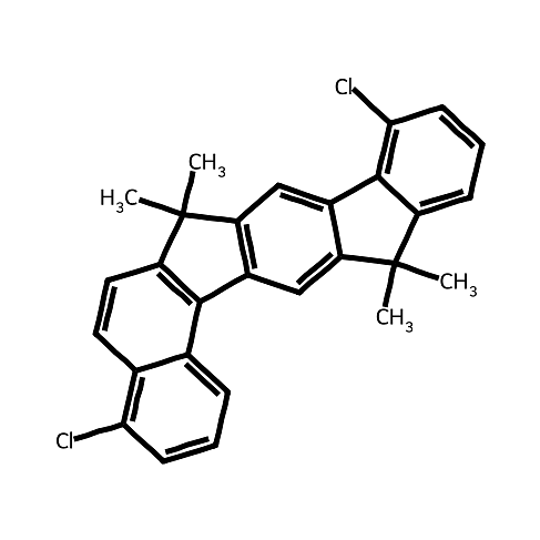 CC1(C)c2cc3c(cc2-c2c(Cl)cccc21)C(C)(C)c1ccc2c(Cl)cccc2c1-3